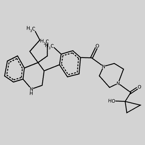 CCCC1(CC)c2ccccc2NCC1c1ccc(C(=O)N2CCN(C(=O)C3(O)CC3)CC2)cc1C